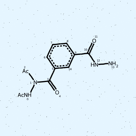 CC(=O)NN(C(C)=O)C(=O)c1cccc(C(=O)NN)c1